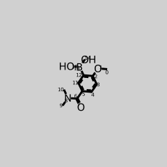 COc1ccc(C(=O)N(C)C)cc1B(O)O